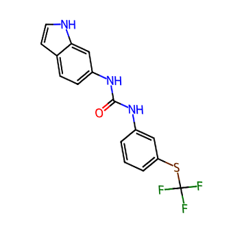 O=C(Nc1cccc(SC(F)(F)F)c1)Nc1ccc2cc[nH]c2c1